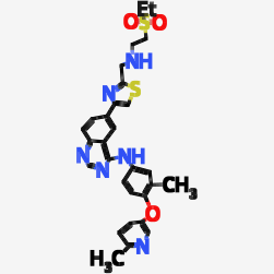 CCS(=O)(=O)CCNCc1nc(-c2ccc3ncnc(Nc4ccc(Oc5ccc(C)nc5)c(C)c4)c3c2)cs1